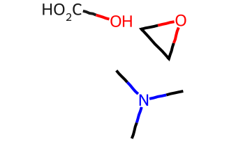 C1CO1.CN(C)C.O=C(O)O